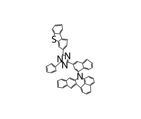 c1ccc(-c2nc(-c3cc(N4c5cc6ccccc6cc5-c5cccc6cccc4c56)c4ccccc4c3)nc(-c3ccc4c(c3)sc3ccccc34)n2)cc1